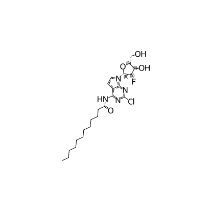 CCCCCCCCCCCC(=O)Nc1nc(Cl)nc2c1ccn2[C@@H]1O[C@H](CO)[C@@H](O)[C@@H]1F